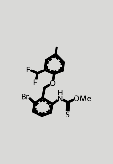 COC(=S)Nc1cccc(Br)c1COc1ccc(C)cc1C(F)F